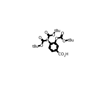 CC(C)(C)OC(=O)Oc1cc(C(=O)O)ccc1N(C(=O)OC(C)(C)C)C(=O)OC(C)(C)C